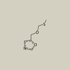 CSCOCc1cnco1